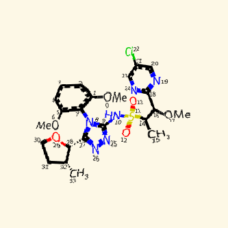 COc1cccc(OC)c1-n1c(NS(=O)(=O)C(C)C(OC)c2ncc(Cl)cn2)nnc1[C@H]1OCC[C@H]1C